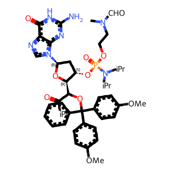 COc1ccc(C(OC(C(=O)C(C)C)[C@H]2O[C@@H](n3cnc4c(=O)[nH]c(N)nc43)C[C@@H]2OP(=O)(OCCN(C)C=O)N(C(C)C)C(C)C)(c2ccccc2)c2ccc(OC)cc2)cc1